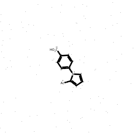 CC(=O)c1cccn1-c1ccc(C(=O)O)cc1